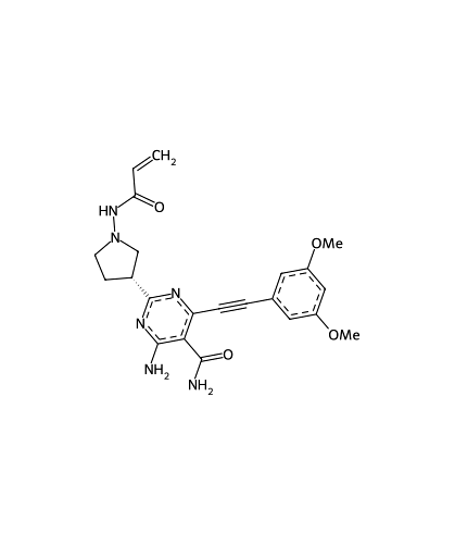 C=CC(=O)NN1CC[C@@H](c2nc(N)c(C(N)=O)c(C#Cc3cc(OC)cc(OC)c3)n2)C1